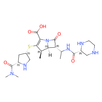 CC(NC(=O)[C@H]1CNCCN1)[C@H]1C(=O)N2C(C(=O)O)=C(S[C@@H]3CN[C@H](C(=O)N(C)C)C3)[C@H](C)[C@H]12